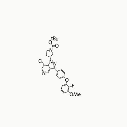 COc1cccc(Oc2ccc(-c3nn(C4CCN(C(=O)OC(C)(C)C)C4)c4c(Cl)cncc34)cc2)c1F